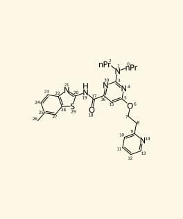 CCCN(CCC)c1nc(OCCc2ccccn2)cc(C(=O)Nc2nc3ccc(C)cc3s2)n1